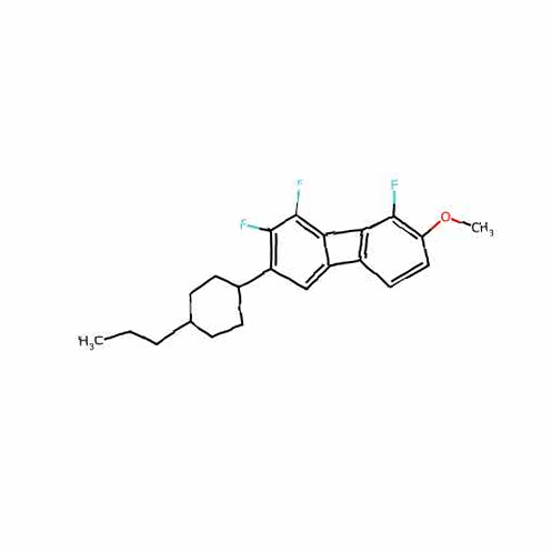 CCCC1CCC(c2cc3c(c(F)c2F)-c2c-3ccc(OC)c2F)CC1